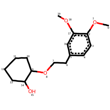 COc1ccc(CCOC2CCCCC2O)cc1OC